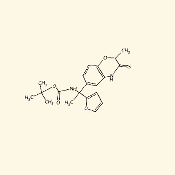 CC1Oc2ccc(C(C)(NC(=O)OC(C)(C)C)c3ccco3)cc2NC1=S